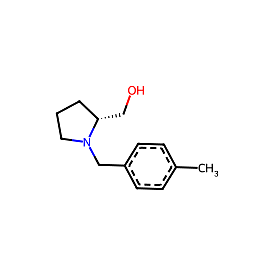 Cc1ccc(CN2CCC[C@@H]2CO)cc1